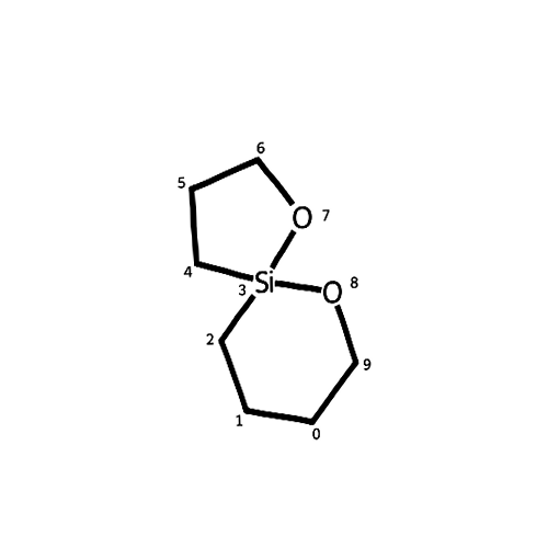 C1CC[Si]2(CCCO2)OC1